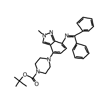 Cn1cc2c(N3CCN(C(=O)OC(C)(C)C)CC3)ccc(N=C(c3ccccc3)c3ccccc3)c2n1